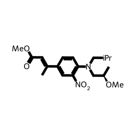 COC(=O)/C=C(\C)c1ccc(N(CC(C)C)C[C@@H](C)OC)c([N+](=O)[O-])c1